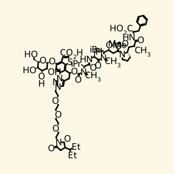 CCC(CC)C1CC(=O)N(CCOCCOCCOCCn2cc(CC(OC(=O)N(C)[C@H](C(=O)N[C@H](C(=O)N(C)[C@@H](C(C)CC)[C@@H](CC(=O)N3CCC[C@H]3[C@H](OC)[C@@H](C)C(=O)NC(Cc3ccccc3)C(=O)O)OC)C(C)C)C(C)C)c3ccc(O[C@@H]4O[C@H](CO)[C@H](O)[C@H](O)[C@H]4O)c4cc(C(=O)O)sc34)nn2)C1=O